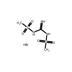 Br.CS(=O)(=O)NC(=N)NS(C)(=O)=O